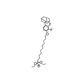 CCOP(=O)(CCCCCCCCCCCOc1ccc(C23CC4CC(CC(C4)C2)C3)c(F)c1F)OCC